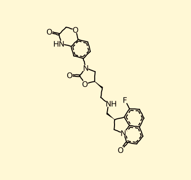 O=C1COc2ccc(N3C[C@@H](CCNC[C@@H]4Cn5c(=O)ccc6ccc(F)c4c65)OC3=O)cc2N1